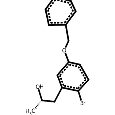 C[C@H](O)Cc1cc(OCc2ccccc2)ccc1Br